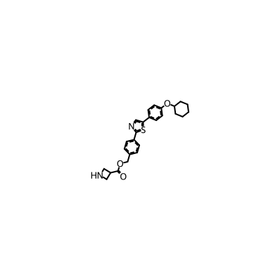 O=C(OCc1ccc(-c2ncc(-c3ccc(OC4CCCCC4)cc3)s2)cc1)C1CNC1